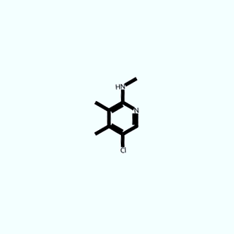 CNc1ncc(Cl)c(C)c1C